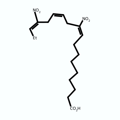 CC/C=C(\C/C=C\C/C(=C\CCCCCCCC(=O)O)[N+](=O)[O-])[N+](=O)[O-]